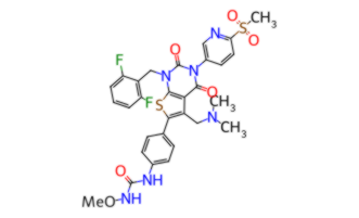 CONC(=O)Nc1ccc(-c2sc3c(c2CN(C)C)c(=O)n(-c2ccc(S(C)(=O)=O)nc2)c(=O)n3Cc2c(F)cccc2F)cc1